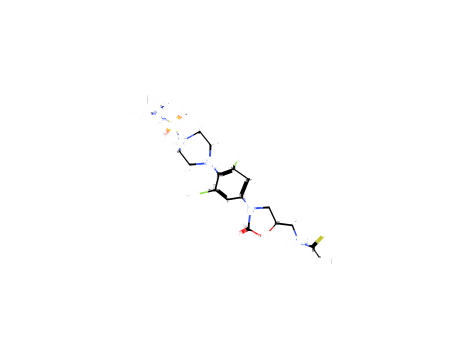 CC(C)C(=S)NCC1CN(c2cc(F)c(N3CCN(S(=O)(=O)N(C)C)CC3)c(F)c2)C(=O)O1